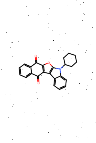 O=C1c2ccccc2C(=O)c2c1oc1c2c2ccccc2n1C1CCCCC1